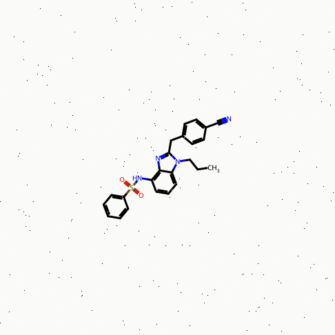 CCCn1c(Cc2ccc(C#N)cc2)nc2c(NS(=O)(=O)c3ccccc3)cccc21